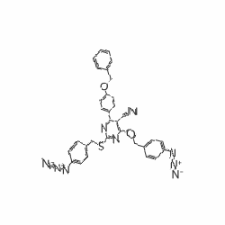 N#Cc1c(OCc2ccc(N=[N+]=[N-])cc2)nc(SCc2ccc(N=[N+]=[N-])cc2)nc1-c1ccc(OCc2ccccc2)cc1